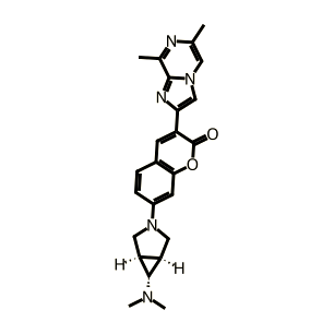 Cc1cn2cc(-c3cc4ccc(N5C[C@@H]6[C@H](C5)[C@H]6N(C)C)cc4oc3=O)nc2c(C)n1